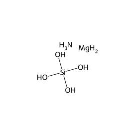 N.O[Si](O)(O)O.[MgH2]